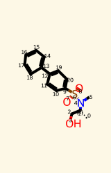 C[C@H](CO)N(C)S(=O)(=O)c1ccc(-c2ccccc2)cc1